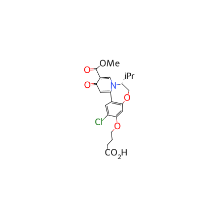 COC(=O)c1cn2c(cc1=O)-c1cc(Cl)c(OCCCC(=O)O)cc1OC[C@H]2C(C)C